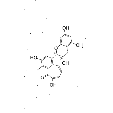 Cc1c(O)cc([C@@H]2Oc3cc(O)cc(O)c3C[C@@H]2O)c2cccc(O)c(=O)c12